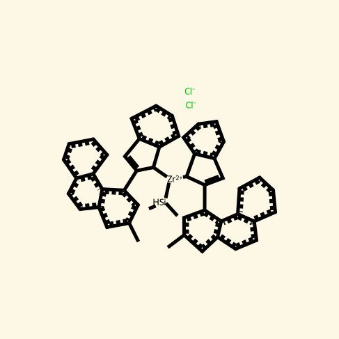 Cc1cc(C2=Cc3ccccc3[CH]2[Zr+2]([CH]2C(c3cc(C)cc4ccc5ccccc5c34)=Cc3ccccc32)[SiH](C)C)c2c(ccc3ccccc32)c1.[Cl-].[Cl-]